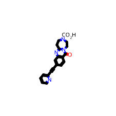 O=C(O)N1CCc2nc3cc(C#Cc4ccccn4)ccc3c(=O)n2CC1